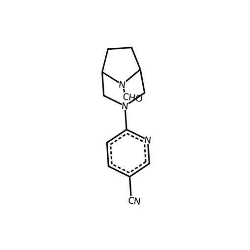 N#Cc1ccc(N2CC3CCC(C2)N3C=O)nc1